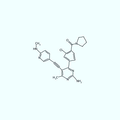 CNc1ccc(C#Cc2c(C)nc(N)nc2-c2ccc(C(=O)N3CCCC3)c(Cl)c2)cn1